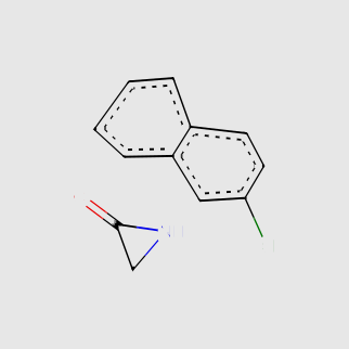 Clc1ccc2ccccc2c1.O=C1CN1